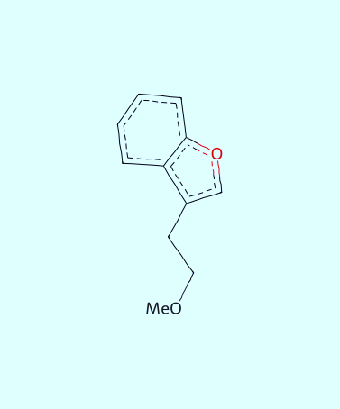 COCCc1coc2ccccc12